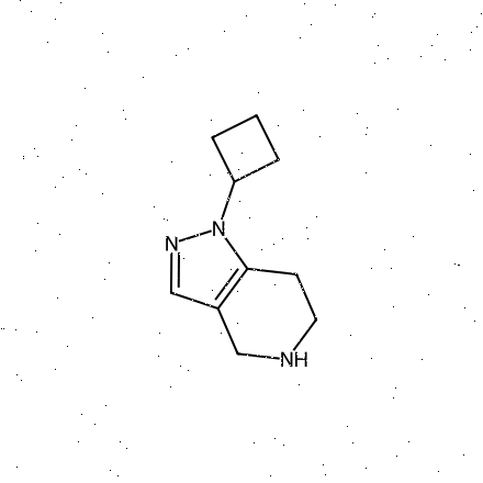 c1nn(C2CCC2)c2c1CNCC2